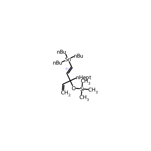 C=CC(/C=[CH]/[Sn]([CH2]CCC)([CH2]CCC)[CH2]CCC)(CCCCCCC)O[Si](C)(C)C